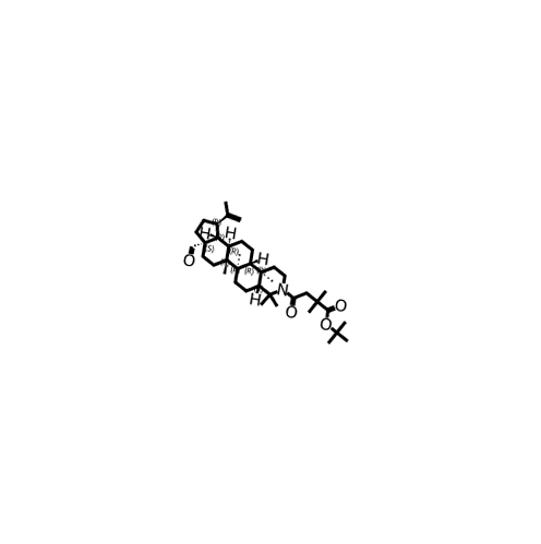 C=C(C)[C@@H]1CC[C@]2(C=O)CC[C@]3(C)[C@H](CC[C@@H]4[C@@]5(C)CCN(C(=O)CC(C)(C)C(=O)OC(C)(C)C)C(C)(C)[C@@H]5CC[C@]43C)[C@@H]12